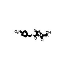 C[C@@H](O)[C@H]1C(=O)N2C(C(=O)OCc3ccc([N+](=O)[O-])cc3)C(=S)SC12